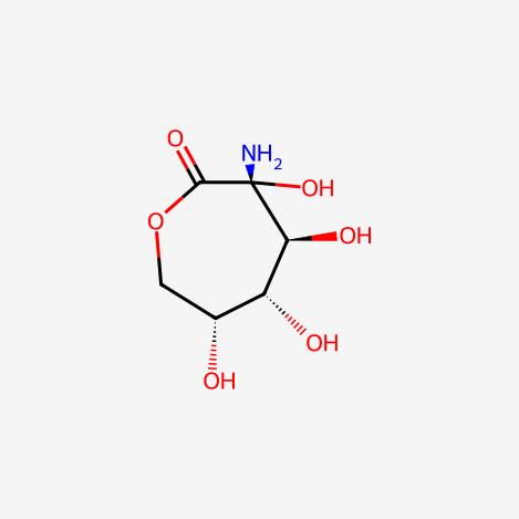 N[C@]1(O)C(=O)OC[C@@H](O)[C@@H](O)[C@@H]1O